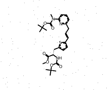 COC(=O)[C@H](Cc1ccc(C=CCc2cccc(N(C)C(=O)OC(C)(C)C)n2)s1)NC(=O)OC(C)(C)C